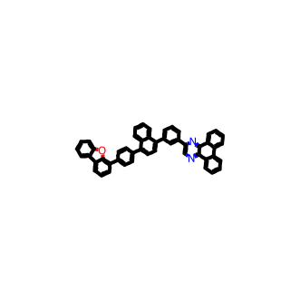 c1cc(-c2cnc3c4ccccc4c4ccccc4c3n2)cc(-c2ccc(-c3ccc(-c4cccc5c4oc4ccccc45)cc3)c3ccccc23)c1